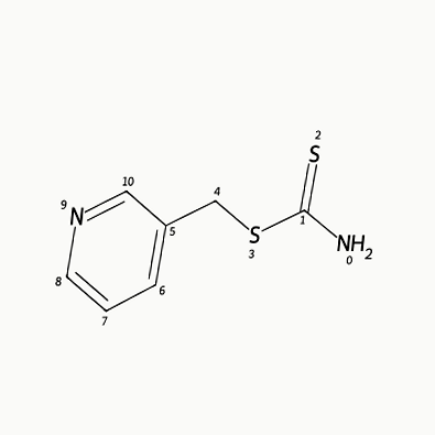 NC(=S)SCc1cccnc1